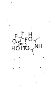 CC(O)NC(C)O.O=S(=O)(O)C(F)(F)F